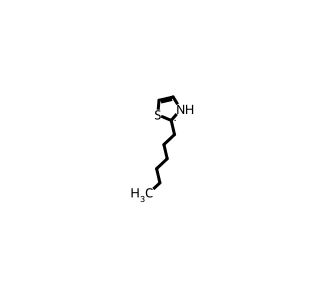 CCCCCC[C]1NC=CS1